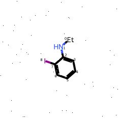 CCNc1ccccc1I